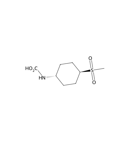 CS(=O)(=O)[C@H]1CC[C@H](NC(=O)O)CC1